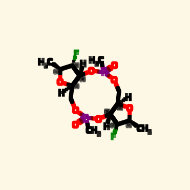 C[C@@H]1O[C@@H]2COP(C)(=O)O[C@H]3[C@H](F)[C@H](C)O[C@@H]3COP(C)(=O)O[C@H]2[C@H]1F